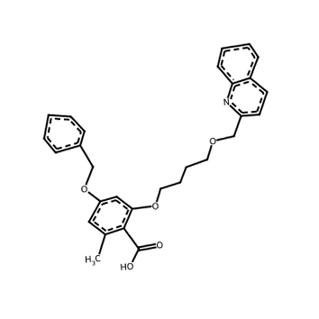 Cc1cc(OCc2ccccc2)cc(OCCCCOCc2ccc3ccccc3n2)c1C(=O)O